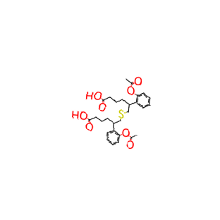 CC(=O)Oc1ccccc1C(CCCC(=O)O)CSCC(CCCC(=O)O)c1ccccc1OC(C)=O